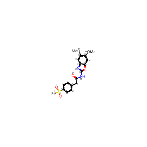 CCS(=O)(=O)c1ccc(CC(=O)Nc2nc3cc(OC)c(OC)cc3o2)cc1